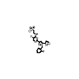 CN(CCS(=O)(=O)Cl)c1nc(-c2cc(-c3ccon3)n(Cc3ccccc3F)n2)ncc1F